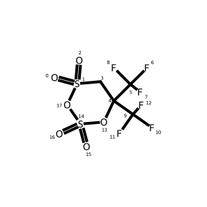 O=S1(=O)CC(C(F)(F)F)(C(F)(F)F)OS(=O)(=O)O1